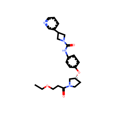 CCOCCC(=O)N1CC[C@@H](Oc2ccc(NC(=O)N3CC(c4cccnc4)C3)cc2)C1